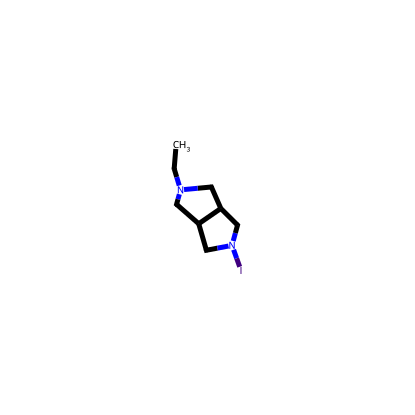 CCN1CC2CN(I)CC2C1